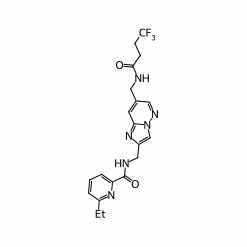 CCc1cccc(C(=O)NCc2cn3ncc(CNC(=O)CCC(F)(F)F)cc3n2)n1